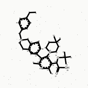 CCc1ccc(CN2CCc3cc(-c4c(C)nc(C)c(C(OC(C)(C)C)C(=O)O)c4N4CCC(C)(C)CC4)ccc3C2)cc1